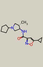 C[C@H]1CN(C2CCCC2)C[C@@H]1NC(=O)c1cc(C2CC2)on1